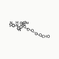 CC(C)(C)S(=O)(=O)c1cc2c(Nc3ccc4scnc4c3)ccnc2cc1OCCOCCOCCOCCOCC=O